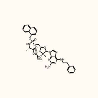 C[C@H](NP(=O)(OC[C@H]1OC(n2cnc3c(NCCc4ccccc4)nc(N)nc32)[C@](C)(O)[C@@H]1O)Oc1cccc2ccccc12)C(=O)OCC(C)(C)C